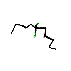 [CH2]CCCCC(F)(F)CCCC